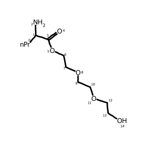 CCCC(N)C(=O)OCCOCCOCCO